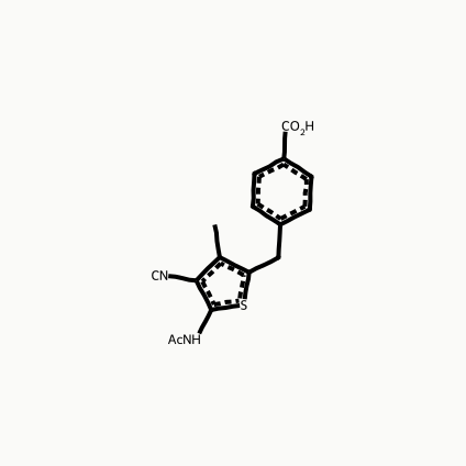 [C-]#[N+]c1c(NC(C)=O)sc(Cc2ccc(C(=O)O)cc2)c1C